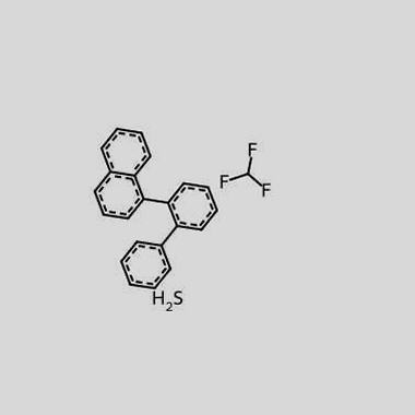 FC(F)F.S.c1ccc(-c2ccccc2-c2cccc3ccccc23)cc1